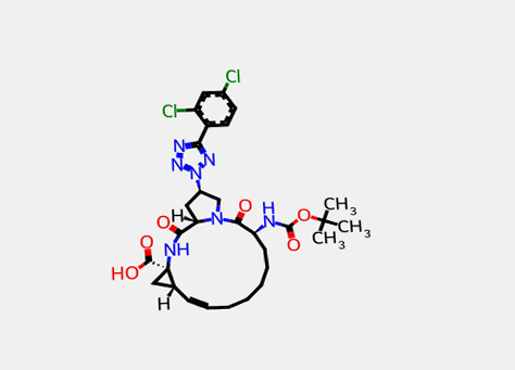 CC(C)(C)OC(=O)N[C@H]1CCCCC/C=C\[C@@H]2C[C@@]2(C(=O)O)NC(=O)[C@@H]2C[C@@H](n3nnc(-c4ccc(Cl)cc4Cl)n3)CN2C1=O